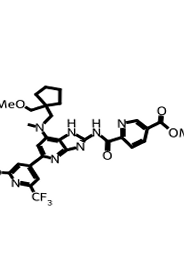 CCOc1cc(-c2cc(N(C)CC3(COC)CCCC3)c3[nH]c(NC(=O)c4ccc(C(=O)OC)cn4)nc3n2)cc(C(F)(F)F)n1